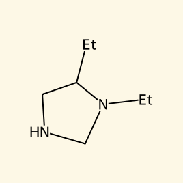 CCC1CNCN1CC